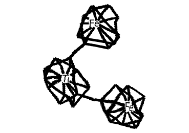 [CH]12[CH]3[CH]4[CH]5[CH]1[Ti]23451678[CH]2[CH]1[C]6([C]13[CH]4[CH]5[CH]6[CH]1[Fe]564319%10%11[CH]3[CH]1[CH]9[CH]%10[CH]3%11)[C]7([C]13[CH]4[CH]5[CH]6[CH]1[Fe]5643179%10[CH]3[CH]1[CH]7[CH]9[CH]3%10)[CH]28